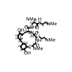 CNCCC[C@@H]1NC(=O)[C@@H](NC)Cc2cc(ccc2O)-c2ccc(O)c(c2)C[C@@H](C(=O)NC[C@H](NC)C(=O)NCCNC)NC1=O